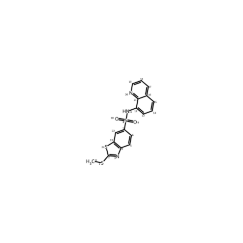 CSc1nc2ccc(S(=O)(=O)Nc3cccc4cccnc34)cc2s1